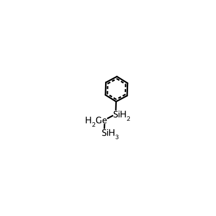 [SiH3][GeH2][SiH2]c1ccccc1